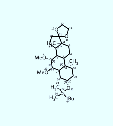 CO[C@@H]1C2C(CC[C@@]3(C)C2CCC32OCCO2)[C@@]2(C)CC[C@H](O[Si](C)(C)C(C)(C)C)CC2[C@H]1OC